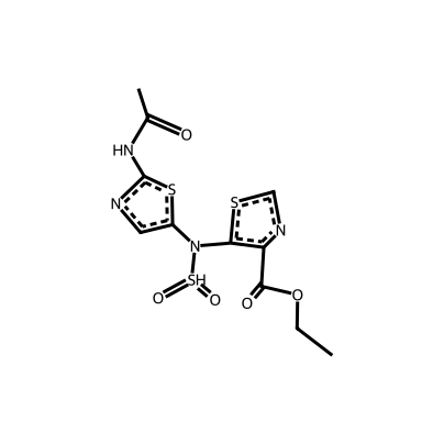 CCOC(=O)c1ncsc1N(c1cnc(NC(C)=O)s1)[SH](=O)=O